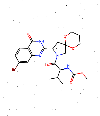 COC(=O)N[C@H](C(=O)N1CC2(C[C@H]1c1nc3cc(Br)ccc3c(=O)[nH]1)OCCCO2)C(C)C